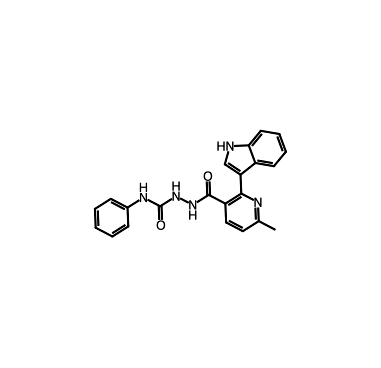 Cc1ccc(C(=O)NNC(=O)Nc2ccccc2)c(-c2c[nH]c3ccccc23)n1